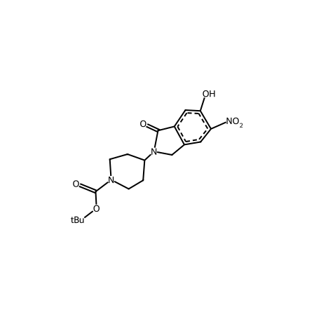 CC(C)(C)OC(=O)N1CCC(N2Cc3cc([N+](=O)[O-])c(O)cc3C2=O)CC1